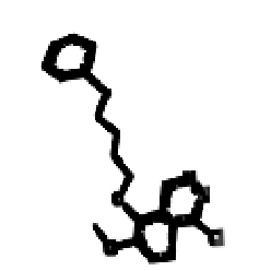 COc1ccc2c(Cl)nncc2c1OCCCCCc1ccccc1